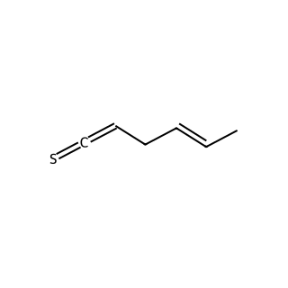 CC=CCC=C=S